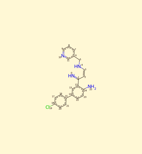 N=C(/C=C\NCc1cccnc1)c1cc(-c2ccc(Cl)cc2)ccc1N